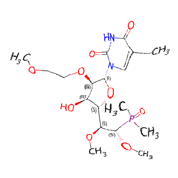 COCCO[C@@H]1[C@H](O)[C@@H]([C@H](OC)[C@@H](OC)P(C)(C)=O)O[C@H]1n1cc(C)c(=O)[nH]c1=O